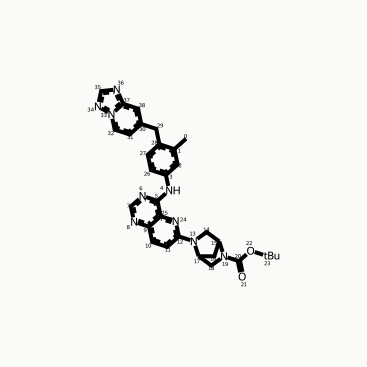 Cc1cc(Nc2ncnc3ccc(N4CC5CC4CN5C(=O)OC(C)(C)C)nc23)ccc1Cc1ccn2ncnc2c1